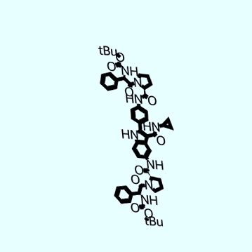 CC(C)(C)OC(=O)N[C@@H](C(=O)N1CCC[C@H]1C(=O)Nc1ccc(-c2[nH]c3ccc(NC(=O)[C@@H]4CCCN4C(=O)[C@H](NC(=O)OC(C)(C)C)c4ccccc4)cc3c2C(=O)NC2CC2)cc1)c1ccccc1